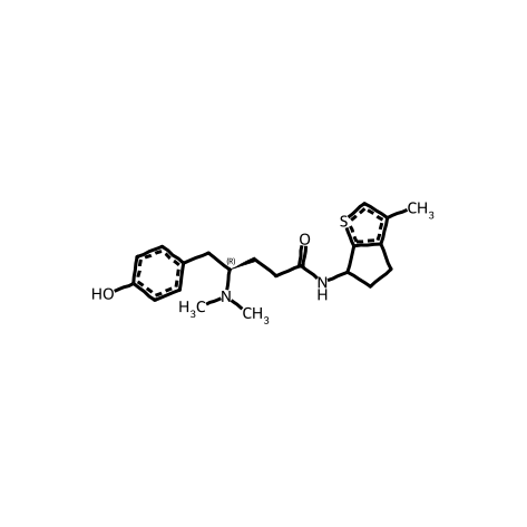 Cc1csc2c1CCC2NC(=O)CC[C@H](Cc1ccc(O)cc1)N(C)C